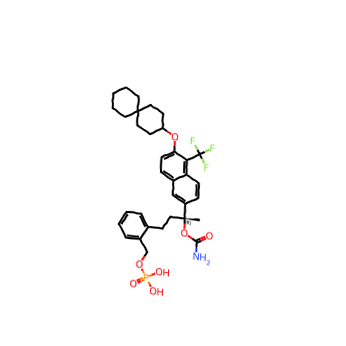 C[C@](CCc1ccccc1COP(=O)(O)O)(OC(N)=O)c1ccc2c(C(F)(F)F)c(OC3CCC4(CCCCC4)CC3)ccc2c1